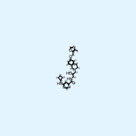 Cc1ncoc1COc1ccc2c(c1)CCN(C[C@@H](O)CNC(=O)c1cc(NC3CCC3)ncn1)C2